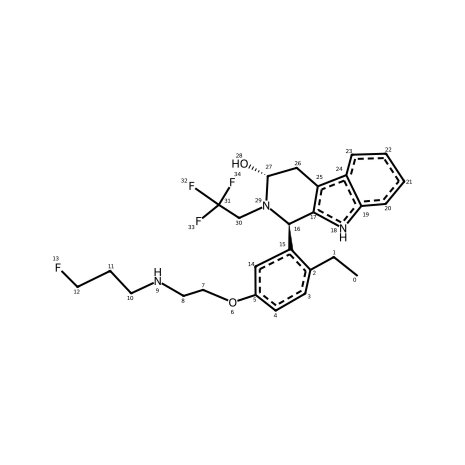 CCc1ccc(OCCNCCCF)cc1[C@@H]1c2[nH]c3ccccc3c2C[C@@H](O)N1CC(F)(F)F